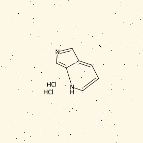 Cl.Cl.c1c[nH]c2cncc-2c1